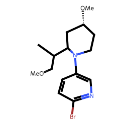 COCC(C)C1C[C@H](OC)CCN1c1ccc(Br)nc1